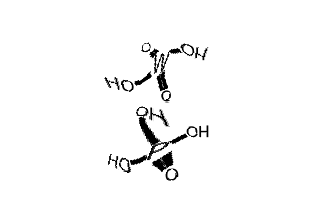 O=P(O)(O)O.[O]=[W](=[O])([OH])[OH]